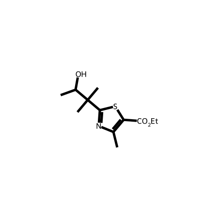 CCOC(=O)c1sc(C(C)(C)C(C)O)nc1C